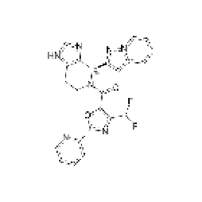 O=C(c1oc(-c2ccccn2)nc1C(F)F)N1CCc2[nH]cnc2[C@H]1c1cc2ccccn2n1